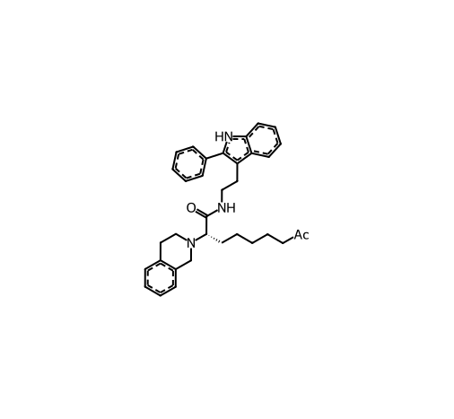 CC(=O)CCCCC[C@@H](C(=O)NCCc1c(-c2ccccc2)[nH]c2ccccc12)N1CCc2ccccc2C1